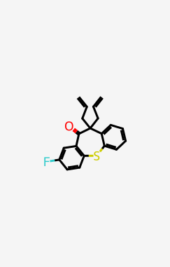 C=CCC1(CC=C)C(=O)c2cc(F)ccc2Sc2ccccc21